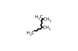 C[CH]CCCC(C)CCC=C(C)C